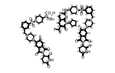 CC(C)(C)N(C(=O)O)C1CCN(S(=O)(=O)c2cccc(CN3CCN(c4cc5c(cc4F)C(=O)N(C4CCC(=O)NC4=O)C5=O)CC3)c2)CC1.O=C1CCC(N2C(=O)c3cc(F)c(N4CCN(Cc5cccc(S(=O)(=O)N6CCC(Nc7ncc8cc(C(F)F)c(=O)n(C9CCCC9)c8n7)CC6)c5)CC4)cc3C2=O)C(=O)N1